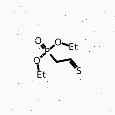 CCOP(=O)(CC=S)OCC